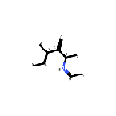 C=C(C(C)CC)C(C)/N=C\C